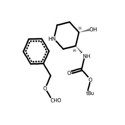 CC(C)(C)OC(=O)N[C@@H]1CNCC[C@@H]1O.O=COCc1ccccc1